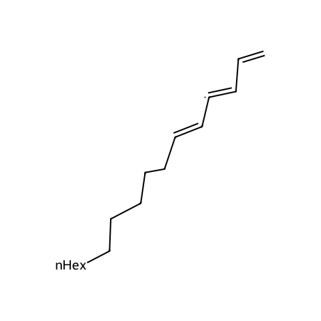 C=C/C=[C]/C=CCCCCCCCCCCC